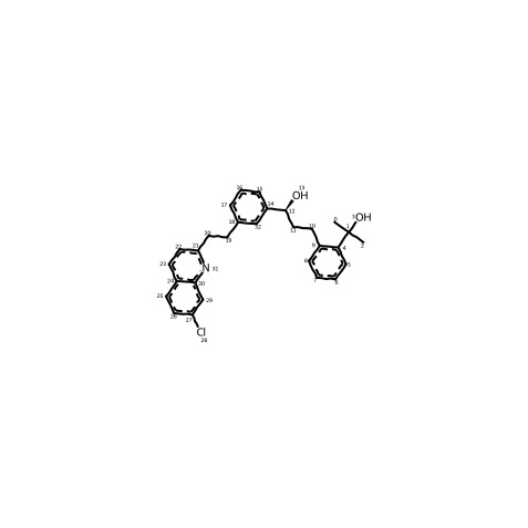 CC(C)(O)c1ccccc1CC[C@H](O)c1cccc(CCc2ccc3ccc(Cl)cc3n2)c1